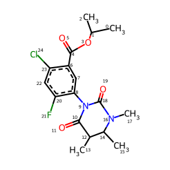 CC(C)OC(=O)c1cc(N2C(=O)C(C)C(C)N(C)C2=O)c(F)cc1Cl